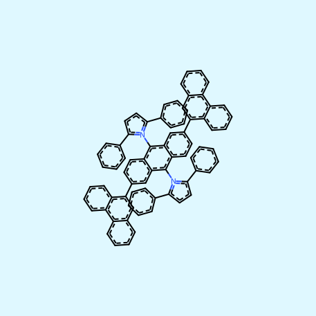 c1ccc(-c2ccc(-c3ccccc3)n2-c2c3ccc(-c4cc5ccccc5c5ccccc45)cc3c(-n3c(-c4ccccc4)ccc3-c3ccccc3)c3ccc(-c4cc5ccccc5c5ccccc45)cc23)cc1